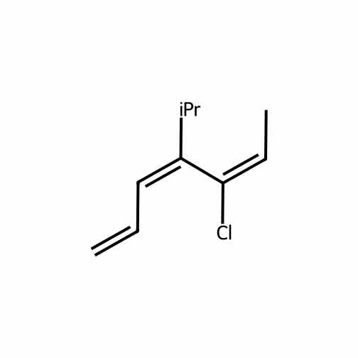 C=C/C=C(\C(Cl)=C/C)C(C)C